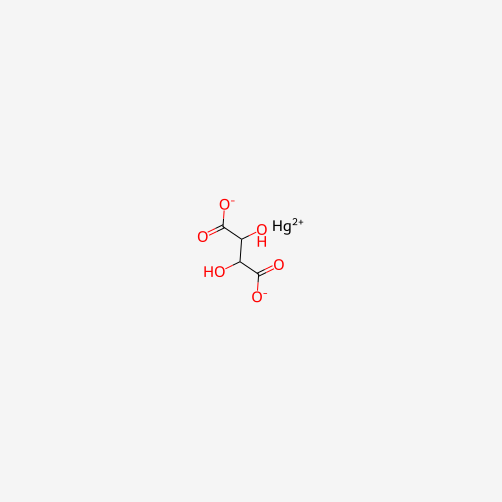 O=C([O-])C(O)C(O)C(=O)[O-].[Hg+2]